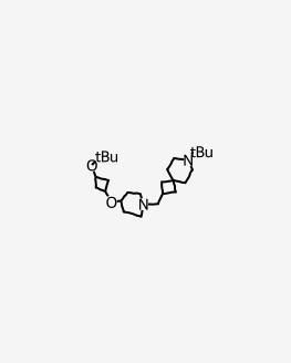 CC(C)(C)OC1CC(OC2CCN(CC3CC4(CCN(C(C)(C)C)CC4)C3)CC2)C1